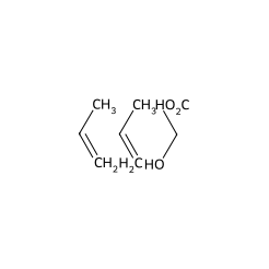 C=CC.C=CC.O=C(O)CO